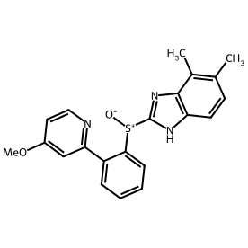 COc1ccnc(-c2ccccc2[S+]([O-])c2nc3c(C)c(C)ccc3[nH]2)c1